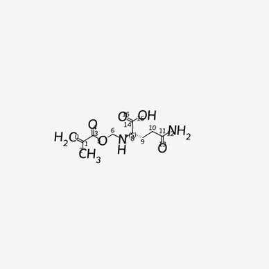 C=C(C)C(=O)OCN[C@@H](CCC(N)=O)C(=O)O